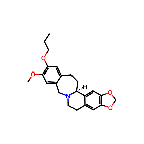 CCCOc1cc2c(cc1OC)CN1CCc3cc4c(cc3[C@@H]1CC2)OCO4